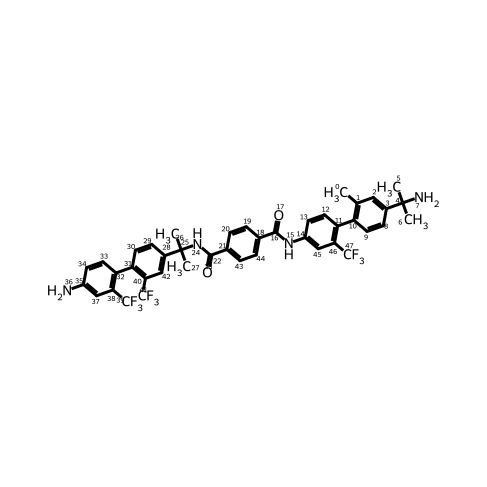 Cc1cc(C(C)(C)N)ccc1-c1ccc(NC(=O)c2ccc(C(=O)NC(C)(C)c3ccc(-c4ccc(N)cc4C(F)(F)F)c(C(F)(F)F)c3)cc2)cc1C(F)(F)F